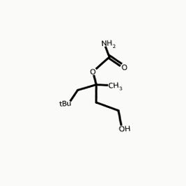 CC(C)(C)CC(C)(CCO)OC(N)=O